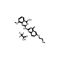 COCCOc1ccc2nc(Nc3nc(O)c4cccc(OC)c4n3)nc(C)c2c1.O=C(O)C(F)(F)F